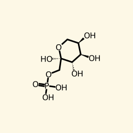 O=P(O)(O)OC[C@@]1(O)OC[C@@H](O)[C@@H](O)[C@@H]1O